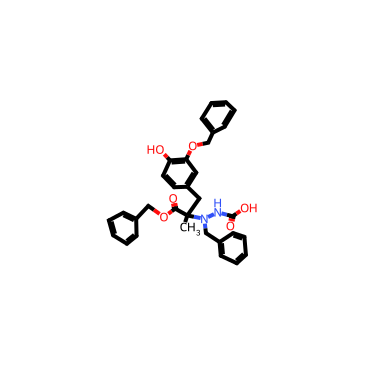 CC(Cc1ccc(O)c(OCc2ccccc2)c1)(C(=O)OCc1ccccc1)N(Cc1ccccc1)NC(=O)O